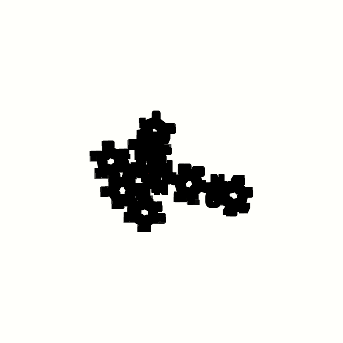 c1ccc(-c2cccc(-n3c4ccccc4c4ccc5c6ccccc6n(-c6nc(-c7ccccc7)nc(-c7ccc(-c8nc9ccccc9o8)cc7)n6)c5c43)c2)cc1